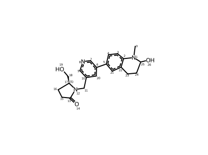 CN1c2ccc(-c3cncc(CN4C(=O)CC[C@H]4CO)c3)cc2CCC1O